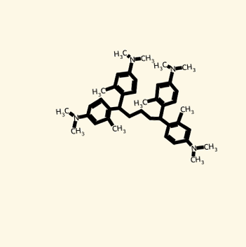 Cc1cc(N(C)C)ccc1C(CCCC(c1ccc(N(C)C)cc1C)c1ccc(N(C)C)cc1C)c1ccc(N(C)C)cc1C